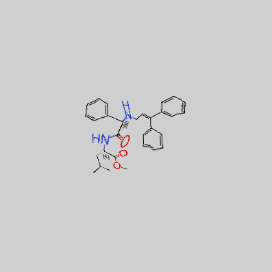 COC(=O)[C@H](CC(C)C)NC(=O)[C@H](NCC=C(c1ccccc1)c1ccccc1)c1ccccc1